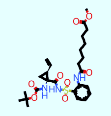 C=C[C@@H]1C[C@]1(NC(=O)OC(C)(C)C)C(=O)NS(=O)(=O)c1ccccc1NC(=O)CCCCCCC(=O)OC